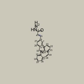 NNC(=O)/C=C/c1ccc(CN2c3ccccc3C=Cc3ccccc32)cc1